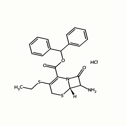 CCSC1=C(C(=O)OC(c2ccccc2)c2ccccc2)N2C(=O)C(N)[C@@H]2SC1.Cl